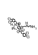 CC(C)C[C@@H]1CN(C(=O)[C@@H](N)Cc2ccc(Cl)c(Cl)c2)[C@@H](CCCCNCCN)CN1C(=O)[C@H](N)Cc1ccc(Cl)c(Cl)c1